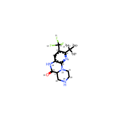 [2H]C([2H])([2H])c1nc2c(cc1C(F)(F)F)NC(=O)C1CNCCN21